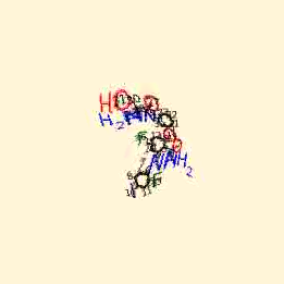 NC(=O)c1c(Nc2ccc(I)cc2F)cc(F)cc1Oc1cccc(NC(=O)[C@@H](N)CO)c1